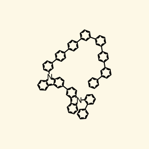 c1ccc(-c2cccc(-c3ccc(-c4cccc(-c5cccc(-c6ccc(-c7ccc(-c8cccc(-n9c%10ccccc%10c%10cc(-c%11ccc%12c(c%11)c%11ccccc%11n%12-c%11ccccc%11-c%11ccccc%11)ccc%109)c8)cc7)cc6)c5)c4)cc3)c2)cc1